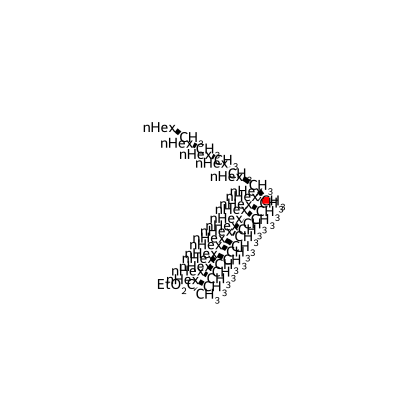 CCCCCCC.CCCCCCC.CCCCCCC.CCCCCCC.CCCCCCC.CCCCCCC.CCCCCCC.CCCCCCC.CCCCCCC.CCCCCCC.CCCCCCC.CCCCCCC.CCCCCCC.CCCCCCC.CCCCCCC.CCCCCCC.CCCCCCC.CCCCCCC.CCCCCCC.CCOC(C)=O